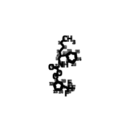 CCCCC(CNC(=O)OOc1cccc(C(F)(F)F)c1)c1ccccc1